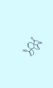 CCC1(C(=O)O)C=CCC(C(C)=O)(C(=O)O)C1C